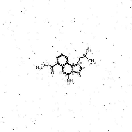 COC(=O)c1cccc2c1nc(N)c1ncn(CC(C)C)c12